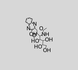 COC(Cc1nc2ccccc2nc1O)[C@@H](NC(C)=O)[C@H](O)C(O)C(O)CO